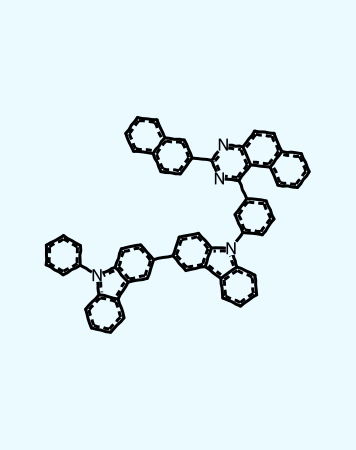 c1ccc(-n2c3ccccc3c3cc(-c4ccc5c(c4)c4ccccc4n5-c4cccc(-c5nc(-c6ccc7ccccc7c6)nc6ccc7ccccc7c56)c4)ccc32)cc1